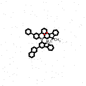 CC1(C)c2ccccc2-c2ccc(N(c3ccc(-c4ccccc4)cc3-c3ccccc3)c3cc(-c4ccc5ccccc5c4)cc4c3sc3ccccc34)cc21